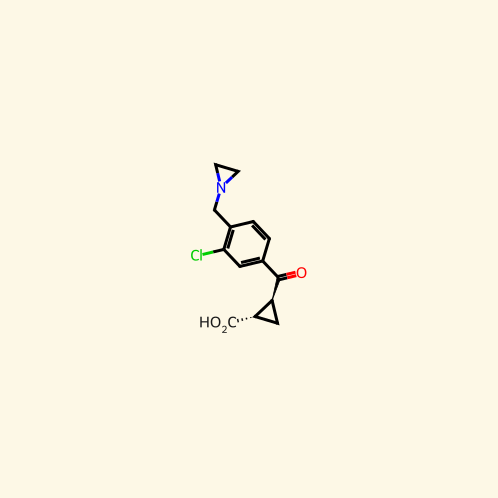 O=C(O)[C@H]1C[C@@H]1C(=O)c1ccc(CN2CC2)c(Cl)c1